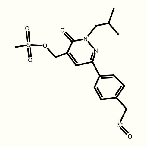 CC(C)Cn1nc(-c2ccc(C[S+]=O)cc2)cc(COS(C)(=O)=O)c1=O